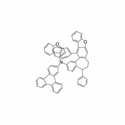 C1=CC2Oc3cc(-c4c5c(cc6oc7ccccc7c46)CCC(c4ccccc4)c4ccc(N(c6ccccc6)c6ccc7c8ccccc8c8ccccc8c7c6)cc4-5)ccc3C2C=C1